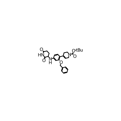 CC(C)(C)OC(=O)N1CC=C(c2ccc(NC3CCC(=O)NC3=O)cc2OCc2ccccc2)CC1